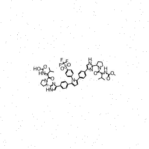 COC(=O)N[C@H](C(=O)N1CCCC1c1nc(-c2ccc(-c3ccc(-c4ccc(-c5c[nH]c([C@@H]6CCCN6C(=O)[C@@H](NC(=O)O)C(C)C)n5)cc4)n3-c3ccc(S(=O)(=O)C(F)(F)F)cc3)cc2)c[nH]1)C(C)C